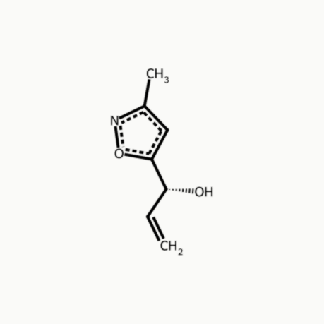 C=C[C@@H](O)c1cc(C)no1